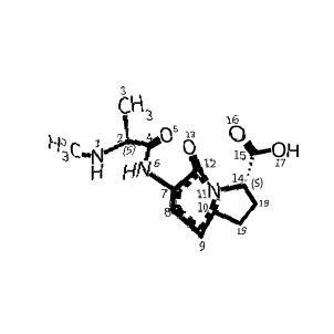 CN[C@@H](C)C(=O)Nc1ccc2n(c1=O)[C@H](C(=O)O)CC2